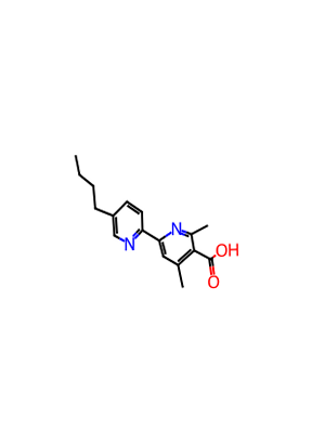 CCCCc1ccc(-c2cc(C)c(C(=O)O)c(C)n2)nc1